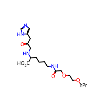 CCCOCCOCC(=O)NCCCC[C@H](NCC(=O)Cc1cnc[nH]1)C(=O)O